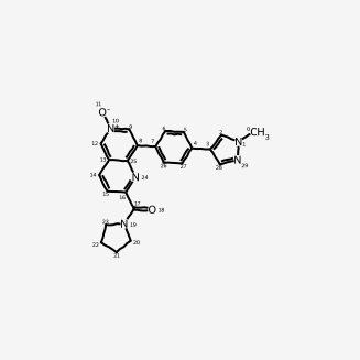 Cn1cc(-c2ccc(-c3c[n+]([O-])cc4ccc(C(=O)N5CCCC5)nc34)cc2)cn1